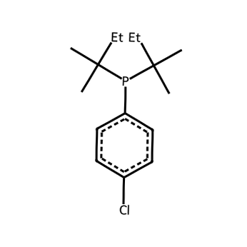 CCC(C)(C)P(c1ccc(Cl)cc1)C(C)(C)CC